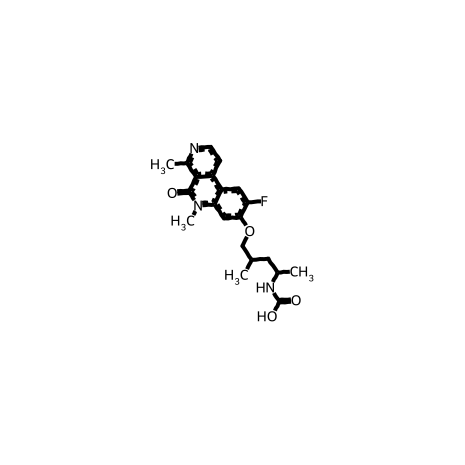 Cc1nccc2c1c(=O)n(C)c1cc(OCC(C)CC(C)NC(=O)O)c(F)cc21